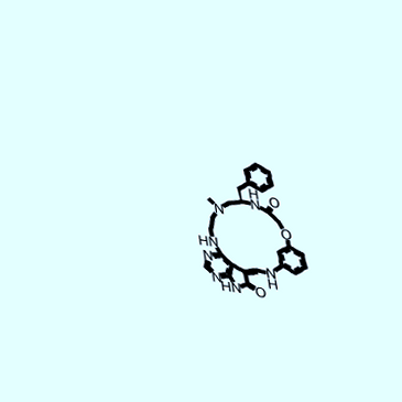 CN1CCNc2ncnc3c2/C(=C/Nc2cccc(c2)OCC(=O)N[C@H](Cc2ccccc2)C1)C(=O)N3